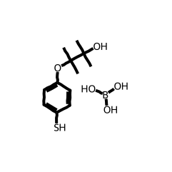 CC(C)(O)C(C)(C)Oc1ccc(S)cc1.OB(O)O